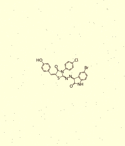 O=C1Nc2ccc(Br)cc2C1=NN=C1SC(=Cc2ccc(O)cc2)C(=O)N1c1ccc(Cl)cc1